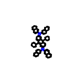 C1=Cc2cc(N(c3ccc4ccccc4c3)c3ccc4c(C5CCCCC5)c5c(c(C6CCCCC6)c4c3)=CCC(N(c3ccc4c(c3)CCC=C4)c3ccc4ccccc4c3)C=5)ccc2CC1